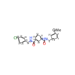 COc1cccc(CNC(=O)c2cccc(C(=O)NCc3ccc(Cl)cc3)c2)c1